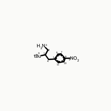 CC(C)(C)C(CN)Cc1ccc([N+](=O)[O-])cc1